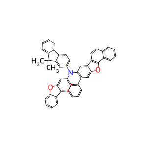 CC1(C)c2ccccc2-c2ccc(N(c3ccc4c(c3)oc3ccccc34)c3cc4c(cc3-c3ccccc3)oc3c5ccccc5ccc43)cc21